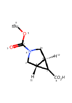 CC(C)(C)OC(=O)N1C[C@H]2C(C(=O)O)[C@@H]2C1